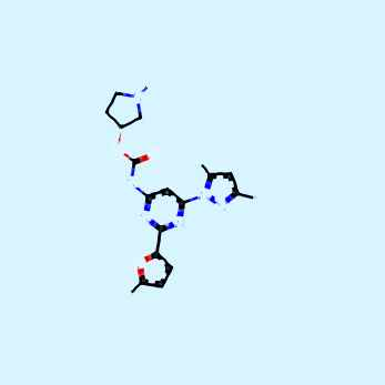 Cc1cc(C)n(-c2cc(NC(=O)O[C@H]3CCN(C)C3)nc(-c3ccc(C)o3)n2)n1